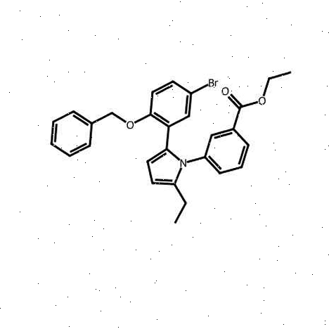 CCOC(=O)c1cccc(-n2c(CC)ccc2-c2cc(Br)ccc2OCc2ccccc2)c1